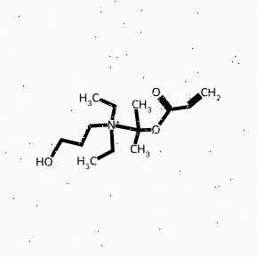 C=CC(=O)OC(C)(C)[N+](CC)(CC)CCCO